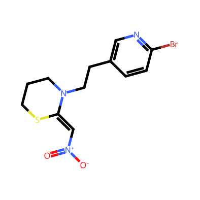 O=[N+]([O-])C=C1SCCCN1CCc1ccc(Br)nc1